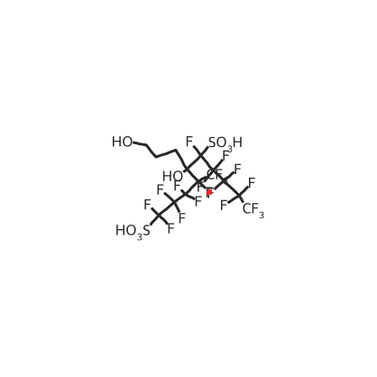 O=S(=O)(O)C(F)(F)C(F)(F)C(F)(F)C(F)(C(F)(F)F)C(O)(CCCO)C(F)(C(F)(F)C(F)(F)C(F)(F)C(F)(F)F)S(=O)(=O)O